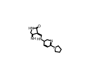 N=C1CNC(=O)/C1=C/NC1C=CC(N2CCCC2)=NC1